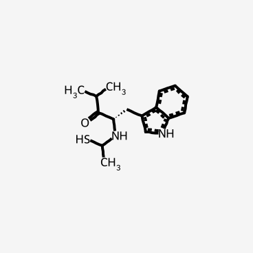 CC(S)N[C@@H](Cc1c[nH]c2ccccc12)C(=O)C(C)C